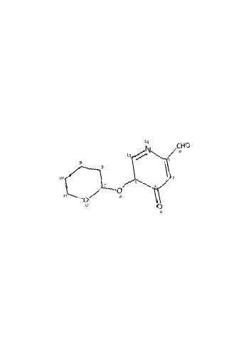 O=CC1=CC(=O)C(OC2CCCCO2)C=N1